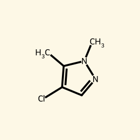 Cc1c(Cl)cnn1C